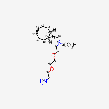 NCCOCCOCCN(CC1[C@H]2CCC#CCC[C@H]12)C(=O)O